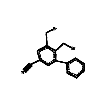 N#Cc1cc(CBr)c(CBr)c(-c2ccccc2)c1